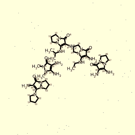 CC(C)Nc1c(N)c(=O)n2n1CCC2.CCNc1c(N)c(=O)n2n1CCC2.Cn1c(N)c(N)c(=O)n1C.Nc1c(N)n2n(c1=O)CCC2.Nc1c(N2CCCC2)n2n(c1=O)CCC2